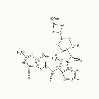 COC1CC(N2CC[C@H]([C@@H](C)n3c(C)c(C(=O)NCc4c(SC)cc(C)[nH]c4=O)c4ccccc43)[C@@H](F)C2)C1